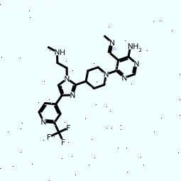 C/N=C/c1c(N)ncnc1N1CCC(c2nc(-c3ccnc(C(F)(F)F)c3)cn2CCNC)CC1